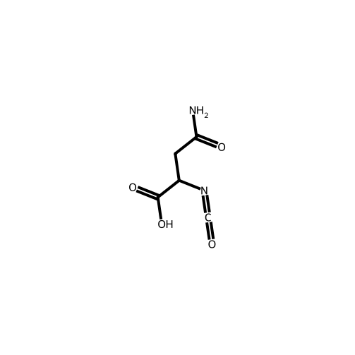 NC(=O)CC(N=C=O)C(=O)O